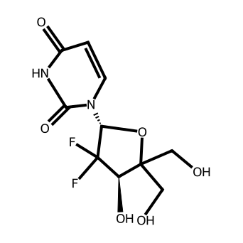 O=c1ccn([C@@H]2OC(CO)(CO)[C@@H](O)C2(F)F)c(=O)[nH]1